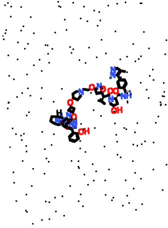 Cc1cnn(C)c1-c1ccc([C@H](C)NC(=O)[C@@H]2C[C@@H](O)CN2C(=O)[C@H](c2cc(OCCN3CCC(OC4CC(Oc5cc(N6C7CC[C@@H]6CN(c6cc(-c8ccccc8O)nnc6N)C7)ccn5)C4)CC3)no2)C(C)C)cc1